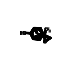 Oc1c2cccc1N2C1(C(F)(F)F)CO1